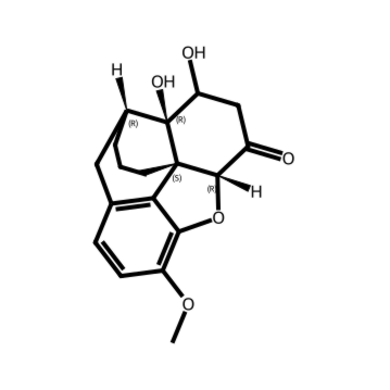 COc1ccc2c3c1O[C@H]1C(=O)CC(O)[C@@]4(O)[C@H](CCC[C@]314)C2